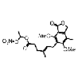 COc1c(C)c2c(c(OC)c1C/C=C(\C)CCC(=O)OC(C)O[N+](=O)[O-])C(=O)OC2